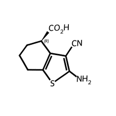 N#Cc1c(N)sc2c1[C@H](C(=O)O)CCC2